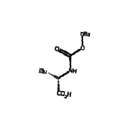 CCCCOC(=O)N[C@H](C(=O)O)[C@@H](C)CC